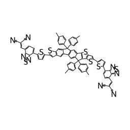 Cc1ccc(C2(c3ccc(C)cc3)c3cc4c(cc3-c3cc5cc(-c6ccc(-c7ccc(C=C(C#N)C#N)c8nsnc78)s6)sc5cc32)C(c2ccc(C)cc2)(c2ccc(C)cc2)c2c-4sc3cc(-c4ccc(-c5ccc(C=C(C#N)C#N)c6nsnc56)s4)sc23)cc1